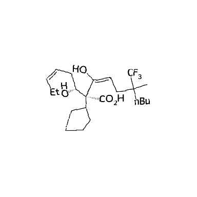 CC/C=C\C[C@@H](O)[C@@](C(=O)O)(/C(O)=C\CC(C)(CCCC)C(F)(F)F)C1CCCC1